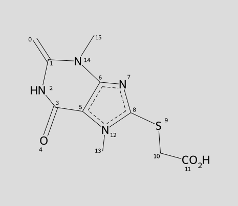 C=C1NC(=O)c2c(nc(SCC(=O)O)n2C)N1C